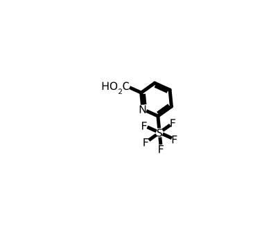 O=C(O)c1cccc(S(F)(F)(F)(F)F)n1